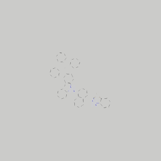 c1ccc2c(c1)-c1ccccc1C21c2ccccc2-c2cc3c(cc21)c1ccccc1n3-c1ccc(-c2nc3ccccc3s2)c2ccccc12